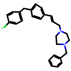 Clc1ccc(Cc2ccc(C=CCN3CCN(Cc4ccccc4)CC3)cc2)cc1